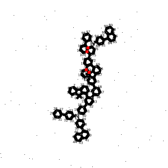 CC1(C)c2ccccc2-c2cccc(-c3cc(-c4ccc(N(c5ccc(-c6ccccc6)cc5)c5ccc(-c6cccc7ccccc67)cc5)cc4)ccc3-c3cccc(-c4ccc5c(c4)-c4cccc(-c6cc(-c7ccc(N(c8ccc(-c9cccc%10ccccc9%10)cc8)c8ccccc8-c8ccccc8)cc7)ccc6-c6ccccc6)c4C5(C)C)c3)c21